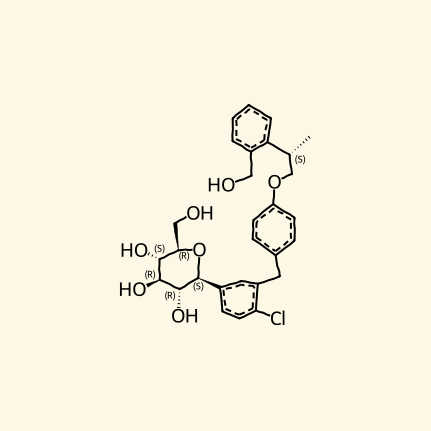 C[C@H](COc1ccc(Cc2cc([C@@H]3O[C@H](CO)[C@@H](O)[C@H](O)[C@H]3O)ccc2Cl)cc1)c1ccccc1CO